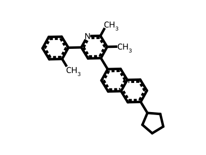 Cc1ccccc1-c1cc(-c2ccc3cc(C4CCCC4)ccc3c2)c(C)c(C)n1